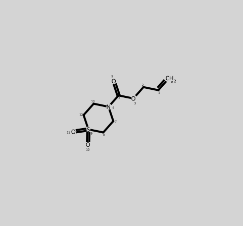 C=CCOC(=O)N1CCS(=O)(=O)CC1